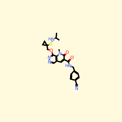 CC(C)NSC1(COc2nncc3cc(C(=O)NCc4ccc(C#N)cc4)c(=O)n(C)c23)CC1